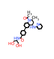 CC(=O)N1c2ccc(-c3ccc(C(=O)NC(CO)CO)cc3)cc2[C@H](Nc2ccccn2)C[C@@H]1C